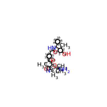 Cc1cc(O)ccc1C(NC(=O)Cc1ccc2cc(C(OCC(C)(C)N)c3c(C)noc3C)oc2c1)c1ccccc1